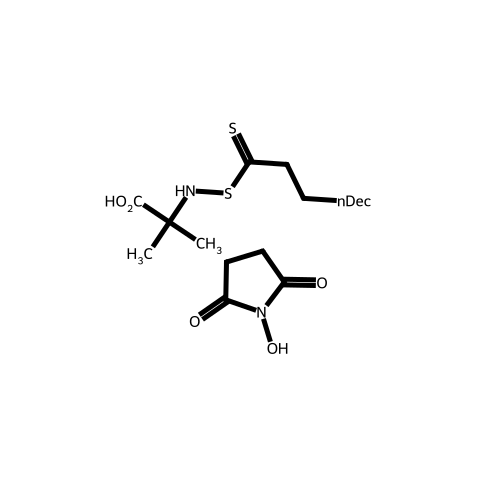 CCCCCCCCCCCCC(=S)SNC(C)(C)C(=O)O.O=C1CCC(=O)N1O